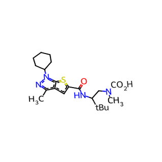 Cc1nn(C2CCCCC2)c2sc(C(=O)NC(CN(C)C(=O)O)C(C)(C)C)cc12